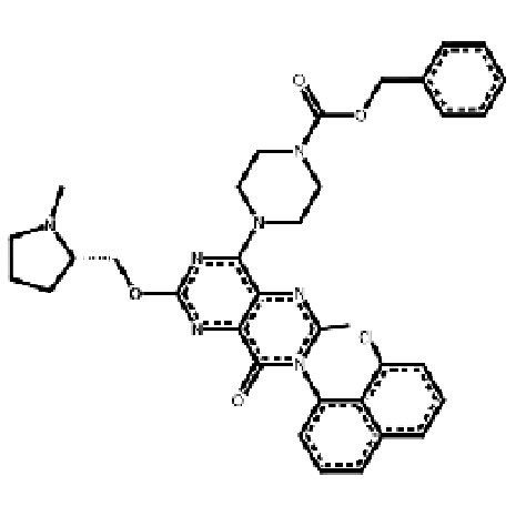 Cc1nc2c(N3CCN(C(=O)OCc4ccccc4)CC3)nc(OC[C@@H]3CCCN3C)nc2c(=O)n1-c1cccc2cccc(Cl)c12